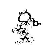 COC(=O)[C@@H](NC(=O)N[C@H](C(=O)N[C@H]1CCCCNC(=O)C=C[C@H](Cc2cc(F)cc(F)c2)NC1=O)C(C)C)C(C)C